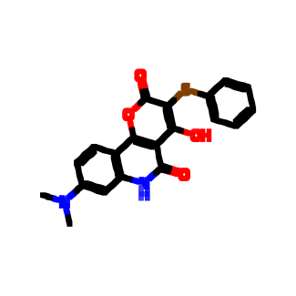 CN(C)c1ccc2c(c1)[nH]c(=O)c1c(O)c(Sc3ccccc3)c(=O)oc12